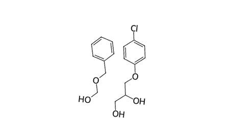 OCC(O)COc1ccc(Cl)cc1.OCOCc1ccccc1